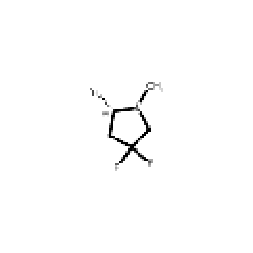 [2H][C@H]1CC(F)(F)CN1C